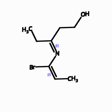 C/C=C(Br)\N=C(/CC)CCO